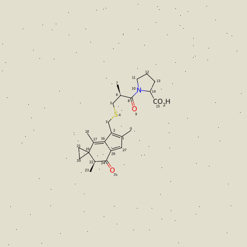 CC1=C(CSC[C@@H](C)C(=O)N2CCCC2C(=O)O)C2=C(C)C3(CC3)[C@H](C)C(=O)C2=C1